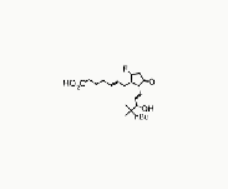 CCCCC(C)(C)[C@H](O)C=C[C@H]1C(=O)C[C@H](F)[C@@H]1CC=CCCCC(=O)O